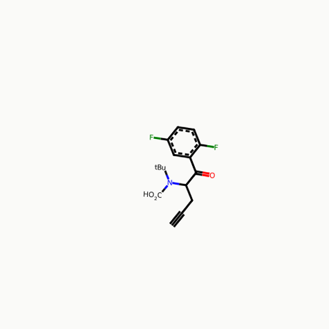 C#CCC(C(=O)c1cc(F)ccc1F)N(C(=O)O)C(C)(C)C